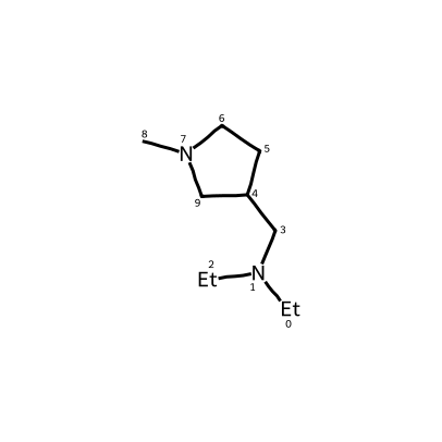 CCN(CC)CC1CCN(C)C1